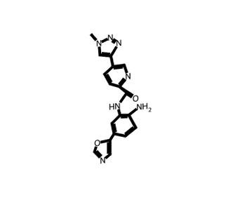 Cn1cc(-c2ccc(C(=O)Nc3cc(-c4cnco4)ccc3N)nc2)nn1